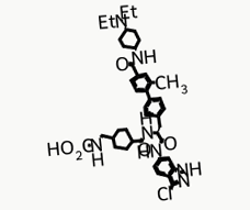 CCN(CC)[C@H]1CC[C@H](NC(=O)c2ccc(-c3ccc(C[C@H](NC(=O)C4CCC(CNC(=O)O)CC4)C(=O)Nc4ccc5c(Cl)n[nH]c5c4)cc3)c(C)c2)CC1